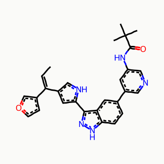 C/C=C(/c1ccoc1)c1c[nH]c(-c2n[nH]c3ccc(-c4cncc(NC(=O)C(C)(C)C)c4)cc23)c1